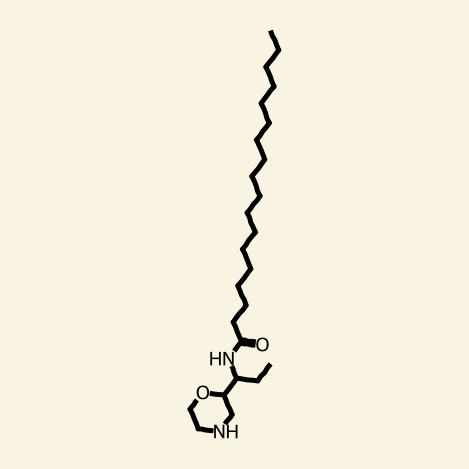 CCCCCCCCCCCCCCCCCC(=O)NC(CC)C1CNCCO1